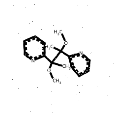 COC(C)(c1ccccn1)C(C)(OC)c1ccccn1